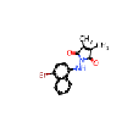 CC1=C(C)C(=O)N(Nc2ccc(Br)c3ccccc23)C1=O